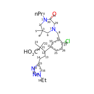 CCCN1CC(C)(C)CN(Cc2cc(C(CCc3cn(CC)nn3)C(C)(C)C(=O)O)ccc2Cl)CC1=O